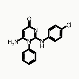 Nc1cc(=O)nc(Nc2ccc(Cl)cc2)n1-c1ccccc1